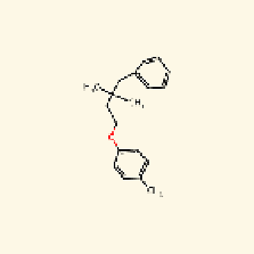 Cc1ccc(OCCC(C)(C)Cc2ccccc2)cc1